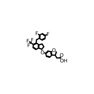 O=C(O)CC1COc2cc(O[C@@H]3CCc4c3ccc(C(F)(F)F)c4Cc3ccc(F)cc3F)ccc21